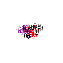 CC(=O)O[C@@]12CO[C@@H]1C[C@@H]1O[Si](C)(C)C[Si](C)(C)O[C@H]3C(=O)[C@@]1(C)C2[C@H](OC(=O)c1ccccc1)[C@]1(O)C[C@H](OP(P(P)P(P)P)P(P(P)P)P(P)P)C(C)=C3C1(C)C